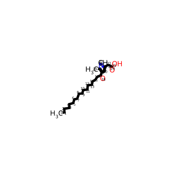 CCCCCCCCCCCCCCCCCC(=O)c1cc(CC(=O)O)n(C)c1C